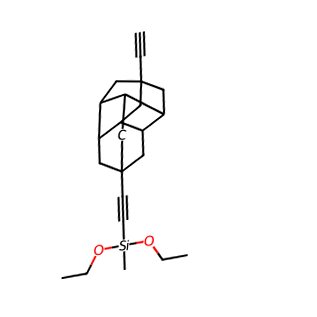 C#CC12CC3C4CC5(C#C[Si](C)(OCC)OCC)CC3C(C1)C(C5)C4C2